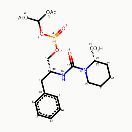 CC(=O)OC(OC(C)=O)O[PH](=O)OC[C@@H](Cc1ccccc1)NC(=O)N1CCCC[C@H]1C(=O)O